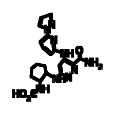 NC(=O)c1nnc(NC2CCCCC2NC(=O)O)cc1Nc1cccc(-n2cccn2)n1